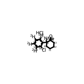 Cl.[2H]c1c([2H])c([2H])c(C2(NC)CCCCC2=O)c(Cl)c1[2H]